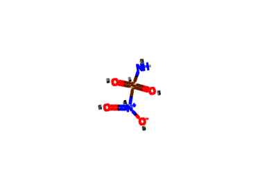 [NH]S(=O)(=O)[N+](=O)[O-]